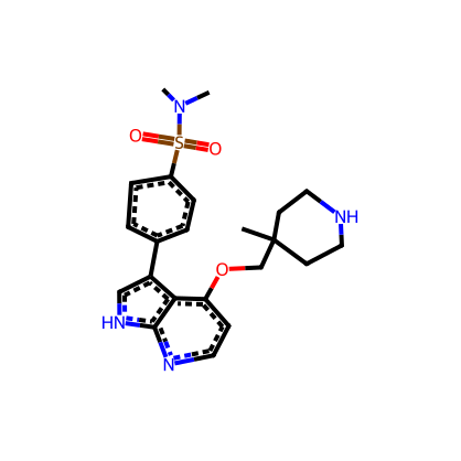 CN(C)S(=O)(=O)c1ccc(-c2c[nH]c3nccc(OCC4(C)CCNCC4)c23)cc1